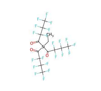 CC[Si](C(=O)C(F)(F)C(F)(F)C(F)(F)F)(C(=O)C(F)(F)C(F)(F)C(F)(F)F)C(=O)C(F)(F)C(F)(F)C(F)(F)F